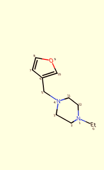 CCN1CCN(Cc2ccoc2)CC1